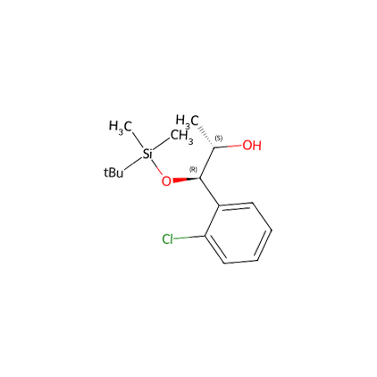 C[C@H](O)[C@H](O[Si](C)(C)C(C)(C)C)c1ccccc1Cl